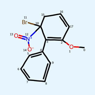 COC1=C(c2ccccc2)C(Br)([N+](=O)[O-])CC=C1